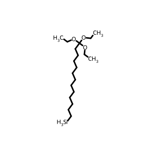 CCOC(CCCCCCCCCCCC[SiH3])(OCC)OCC